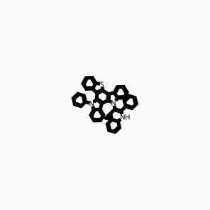 C1=CC2NC(c3ccccc3)=C(n3c4ccccc4c4c5sc6ccccc6c5c5c(c6ccccc6n5-c5ccccc5)c43)C3=CC32C=C1